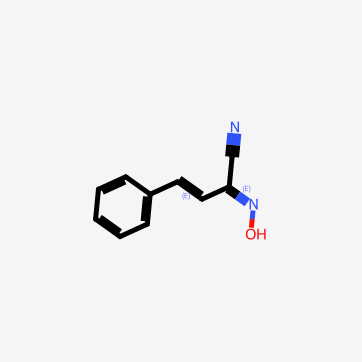 N#CC(/C=C/c1ccccc1)=N/O